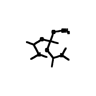 CC(OC(C)(O[SiH3])OC(C)N(C)C)N(C)C